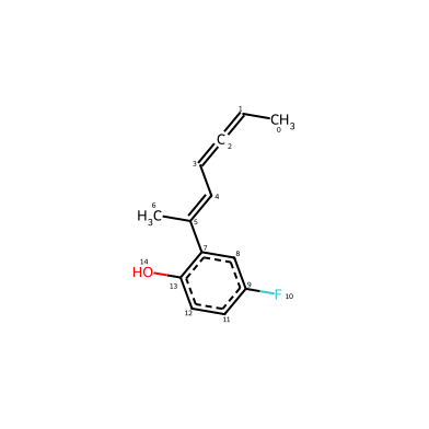 CC=C=C/C=C(\C)c1cc(F)ccc1O